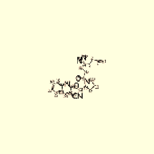 C#CCCC1(CCC(=O)N2CCCC2COc2nc3ccccc3cc2C#N)N=N1